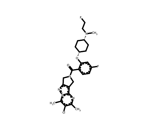 Cc1nc2c3c(nn2c(C)c1Cl)CN(C(=O)c1ccc(F)cc1O[C@H]1CC[C@@H](N(C)CCF)CC1)C3